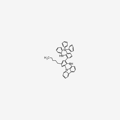 CCCCCc1cc(-c2cccc3c2Nc2ccccc2[Si]3(c2ccccc2)c2ccccc2)c2c(c1)-n1c3ccccc3c3cccc(c31)B2